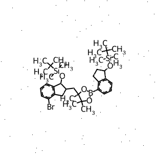 CC1(C)OB(c2cccc3c2CCC3O[Si](C)(C)C(C)(C)C)OC1(C)CC1Cc2c(Br)cccc2C1O[Si](C)(C)C(C)(C)C